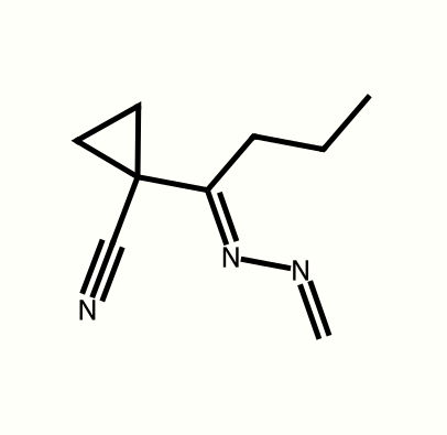 C=N/N=C(\CCC)C1(C#N)CC1